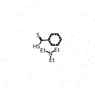 CCN(CC)CC.S=C(S)c1ccccc1